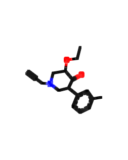 C#CCN1CC(OCC)C(=O)C(c2cccc(C)c2)C1